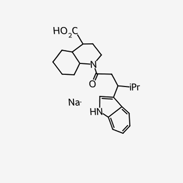 CC(C)C(CC(=O)N1CCC(C(=O)O)C2CCCCC21)c1c[nH]c2ccccc12.[Na]